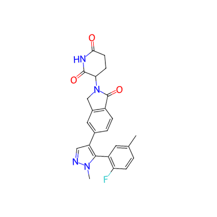 Cc1ccc(F)c(-c2c(-c3ccc4c(c3)CN(C3CCC(=O)NC3=O)C4=O)cnn2C)c1